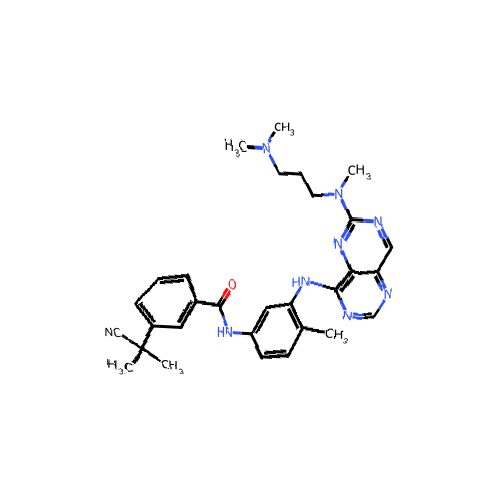 Cc1ccc(NC(=O)c2cccc(C(C)(C)C#N)c2)cc1Nc1ncnc2cnc(N(C)CCCN(C)C)nc12